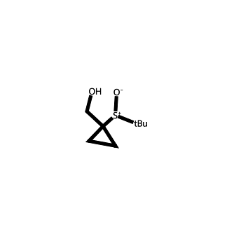 CC(C)(C)[S+]([O-])C1(CO)CC1